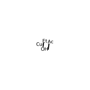 CC(C)=O.CCO.[Cu]